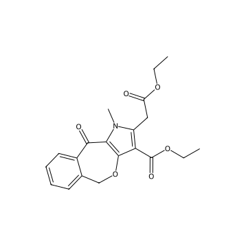 CCOC(=O)Cc1c(C(=O)OCC)c2c(n1C)C(=O)c1ccccc1CO2